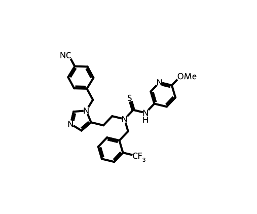 COc1ccc(NC(=S)N(CCc2cncn2Cc2ccc(C#N)cc2)Cc2ccccc2C(F)(F)F)cn1